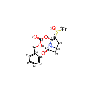 CC[S+]([O-])C1=C(OC(=O)OCc2ccccc2)N2C(=O)CC2C1